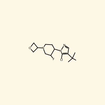 CC(C)(C)c1cnn(C2CCN(C3COC3)CC2F)c1Cl